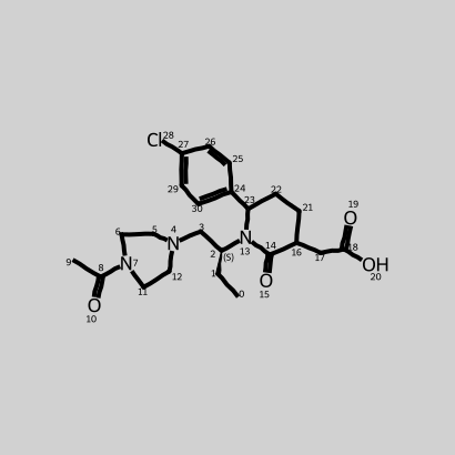 CC[C@@H](CN1CCN(C(C)=O)CC1)N1C(=O)C(CC(=O)O)CCC1c1ccc(Cl)cc1